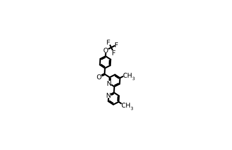 Cc1ccnc(-c2cc(C)cc(C(=O)c3ccc(OC(F)(F)F)cc3)n2)c1